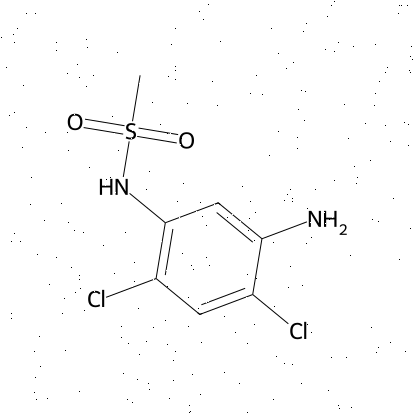 CS(=O)(=O)Nc1cc(N)c(Cl)cc1Cl